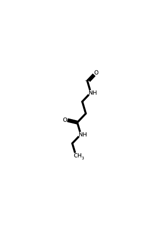 CCNC(=O)CCN[C]=O